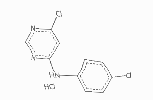 Cl.Clc1ccc(Nc2cc(Cl)ncn2)cc1